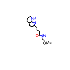 COCCNC(=O)CCCc1ccc2c(n1)NCCC2